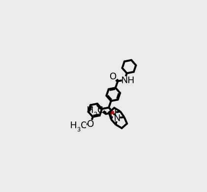 C=CCN1C2CCC1C1CCC2N1C(c1ccc(C(=O)NC2CCCCC2)cc1)c1cccc(OC)c1